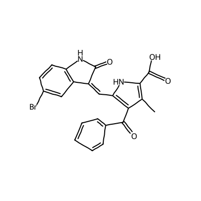 Cc1c(C(=O)O)[nH]c(C=C2C(=O)Nc3ccc(Br)cc32)c1C(=O)c1ccccc1